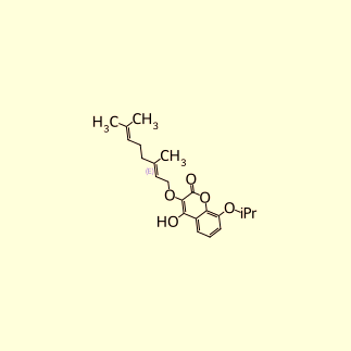 CC(C)=CCC/C(C)=C/COc1c(O)c2cccc(OC(C)C)c2oc1=O